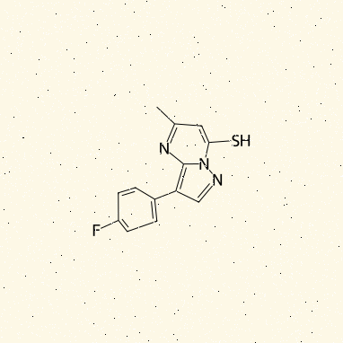 Cc1cc(S)n2ncc(-c3ccc(F)cc3)c2n1